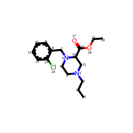 CCCN1CCN(Cc2ccccc2Cl)C(C(=O)OCC)C1